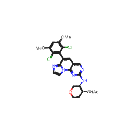 COc1cc(OC)c(Cl)c(-c2cc3cnc(N[C@@H]4COCC[C@@H]4NC(C)=O)nc3n3ccnc23)c1Cl